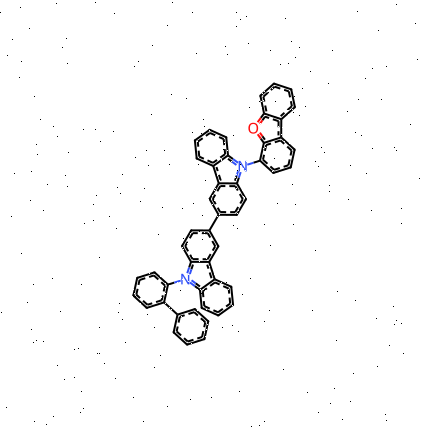 c1ccc(-c2ccccc2-n2c3ccccc3c3cc(-c4ccc5c(c4)c4ccccc4n5-c4cccc5c4oc4ccccc45)ccc32)cc1